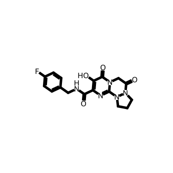 O=C(NCc1ccc(F)cc1)c1nc2n(c(=O)c1O)CC(=O)N1CCCN21